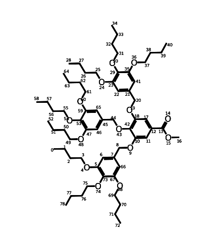 CCCCOc1cc(COc2cc(C(=O)OC)cc(OCc3cc(OCCCC)c(OCCCC)c(OCCCC)c3)c2OCc2cc(OCCCC)c(OCCCC)c(OCCCC)c2)cc(OCCCC)c1OCCCC